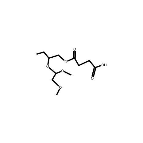 CCC(COC(=O)CCC(=O)O)OC(COC)OC